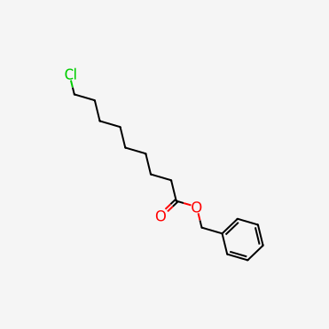 O=C(CCCCCCCCCl)OCc1ccccc1